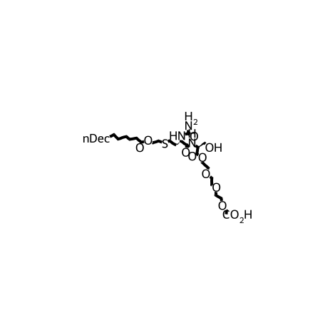 CCCCCCCCCCCCCCCC(=O)OCCSCC[C@H](NC(N)=O)C(=O)N[C@@H](CO)C(=O)OCCOCCOCCOCC(=O)O